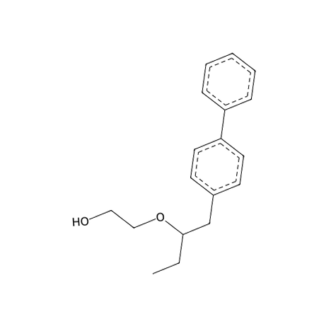 CCC(Cc1ccc(-c2ccccc2)cc1)OCCO